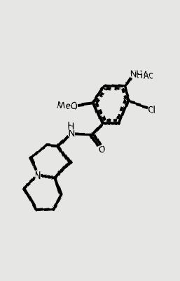 COc1cc(NC(C)=O)c(Cl)cc1C(=O)NC1CCN2CCCCC2C1